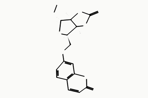 CO[C@H]1O[C@H](COc2ccc3ccc(=O)oc3c2)[C@@H]2OC(=O)O[C@H]12